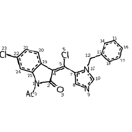 CC(=O)N1C(=O)C(=C(Cl)c2cncn2Cc2ccccc2)c2ccc(Cl)cc21